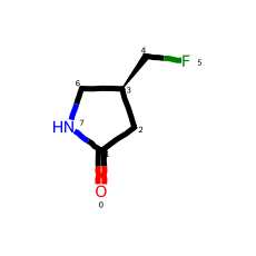 O=C1C[C@H](CF)CN1